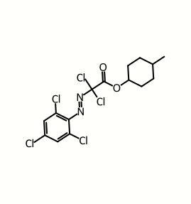 CC1CCC(OC(=O)C(Cl)(Cl)N=Nc2c(Cl)cc(Cl)cc2Cl)CC1